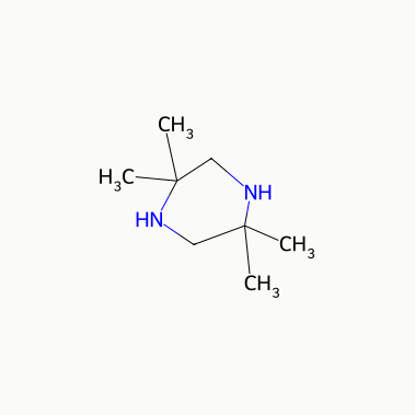 CC1(C)CNC(C)(C)CN1